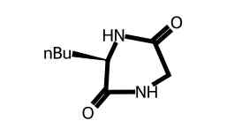 CCCC[C@H]1NC(=O)CNC1=O